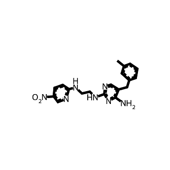 Cc1cccc(Cc2cnc(NCCNc3ccc([N+](=O)[O-])cn3)nc2N)c1